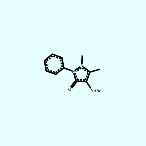 CC(=O)Nc1c(C)n(C)n(-c2ccccc2)c1=O